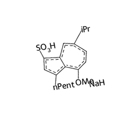 CCCCCc1cc(S(=O)(=O)O)c2cc(C(C)C)ccc(OC)c1-2.[NaH]